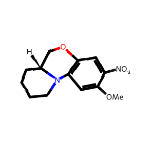 COc1cc2c(cc1[N+](=O)[O-])OC[C@H]1CCCCN21